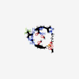 CCOP1(=O)Cc2ccc(c(OC)c2)Nc2ncc(C(F)(F)F)c(n2)Nc2ccc(nc2C(=O)NOC)-c2cnn(c2)CCCO1